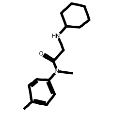 Cc1ccc(N(C)C(=O)CNC2CCCCC2)cc1